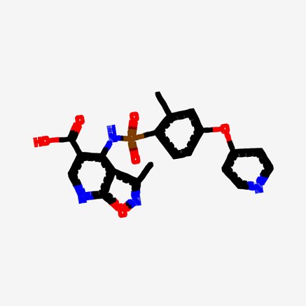 Cc1cc(Oc2ccncc2)ccc1S(=O)(=O)Nc1c(C(=O)O)cnc2onc(C)c12